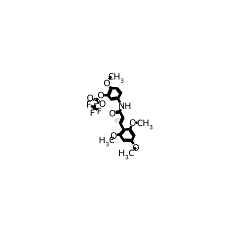 COc1cc(OC)c(/C=C/C(=O)Nc2ccc(OC)c(OS(=O)(=O)C(F)(F)F)c2)c(OC)c1